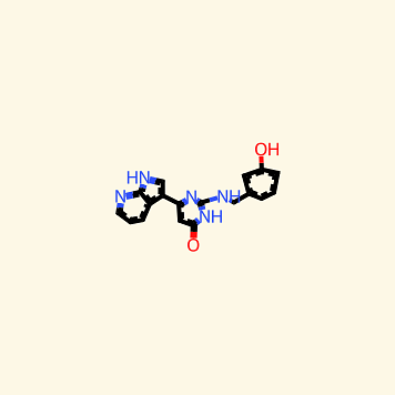 O=c1cc(-c2c[nH]c3ncccc23)nc(NCc2cccc(O)c2)[nH]1